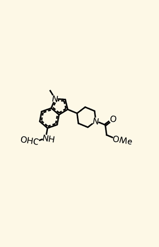 COCC(=O)N1CCC(c2cn(C)c3ccc(NC=O)cc23)CC1